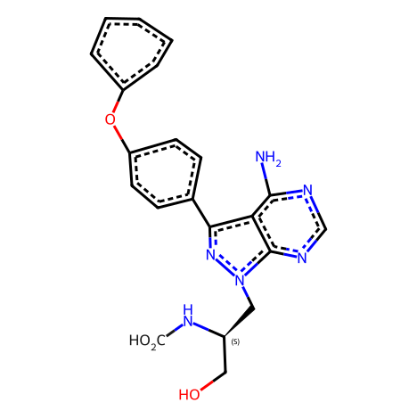 Nc1ncnc2c1c(-c1ccc(Oc3ccccc3)cc1)nn2C[C@@H](CO)NC(=O)O